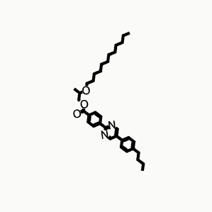 CCCCCCCCCCCCOC(C)COC(=O)c1ccc(-c2ncc(-c3ccc(CCCC)cc3)cn2)cc1